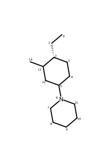 CC[C@@H]1CCC(N2CCCCC2)CC1C